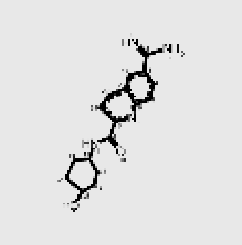 N=C(N)c1ccc2nc(C(=O)NC3CCC([O])CC3)ccc2c1